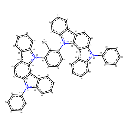 N#Cc1c(-n2c3ccccc3c3ccc4c(c5ccccc5n4-c4ccccc4)c32)cccc1-n1c2ccccc2c2ccc3c(c4ccccc4n3-c3ccccc3)c21